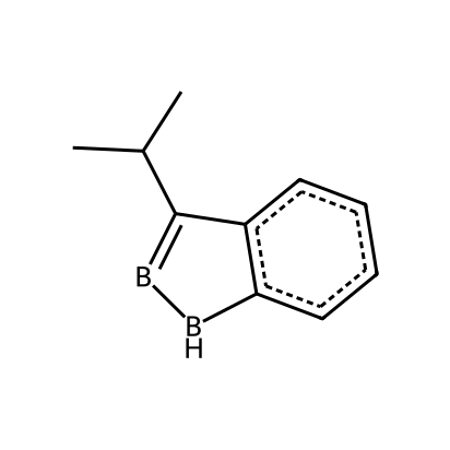 CC(C)C1=BBc2ccccc21